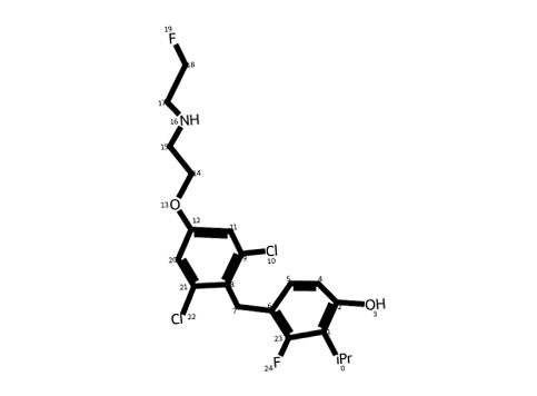 CC(C)c1c(O)ccc(Cc2c(Cl)cc(OCCNCCF)cc2Cl)c1F